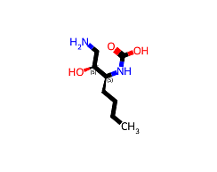 CCCC[C@H](NC(=O)O)[C@@H](O)CN